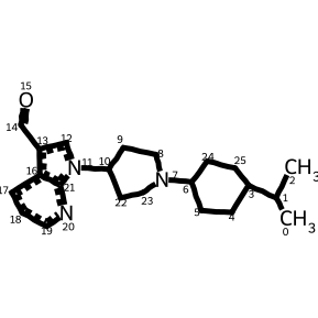 CC(C)C1CCC(N2CCC(n3cc(C=O)c4cccnc43)CC2)CC1